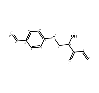 C=CC(=O)C(O)COc1ccc(C=O)cc1